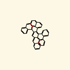 c1ccc(-c2ccccc2-c2c(-c3cccc4ccccc34)c(-c3cccc4ccccc34)cc3cc4ccccc4cc23)cc1